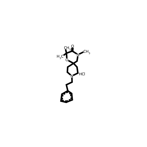 CN1CC2(CCN(CCc3ccccc3)CC2)OC(C)(C)C1=O.Cl